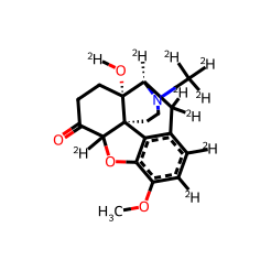 [2H]O[C@@]12CCC(=O)C3([2H])Oc4c(OC)c([2H])c([2H])c5c4[C@@]31CCN(C([2H])([2H])[2H])[C@]2([2H])C5([2H])[2H]